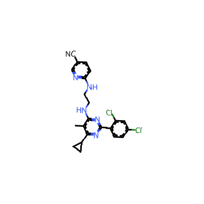 Cc1c(NCCNc2ccc(C#N)cn2)nc(-c2ccc(Cl)cc2Cl)nc1C1CC1